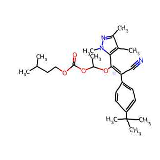 Cc1nn(C)c(/C(OC(C)OC(=O)OCCC(C)C)=C(\C#N)c2ccc(C(C)(C)C)cc2)c1C